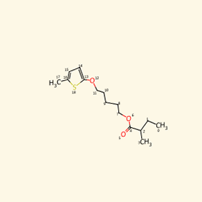 CCC(C)C(=O)OCCCCCOc1ccc(C)s1